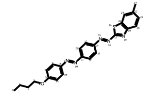 CCCCOc1ccc(N=Nc2ccc(N=Nc3nc4ccc(C)cc4s3)cc2)cc1